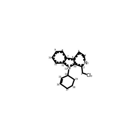 ClCc1nccc2c3ccccc3n(C3C=CCCC3)c12